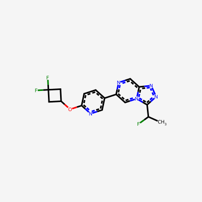 CC(F)c1nnc2cnc(-c3ccc(OC4CC(F)(F)C4)nc3)cn12